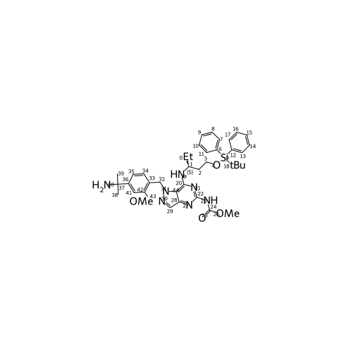 CC[C@@H](CCO[Si](c1ccccc1)(c1ccccc1)C(C)(C)C)Nc1nc(NC(=O)OC)nc2cnn(Cc3ccc(C(C)(C)N)cc3OC)c12